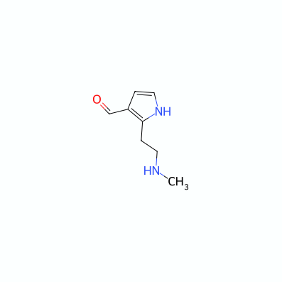 CNCCc1[nH]ccc1C=O